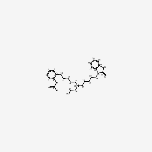 C=C(C)Cc1ccccc1CCCCCN(CCC)CCCCCN1C(=C)Cc2ccccc21